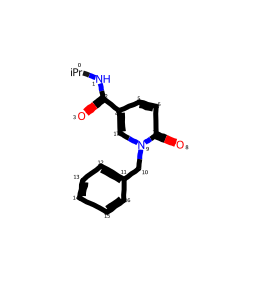 CC(C)NC(=O)c1ccc(=O)n(Cc2ccccc2)c1